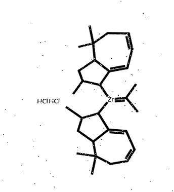 C[C](C)=[Zr]([CH]1C2=CC=CCC(C)(C)C2CC1C)[CH]1C2=CC=CCC(C)(C)C2CC1C.Cl.Cl